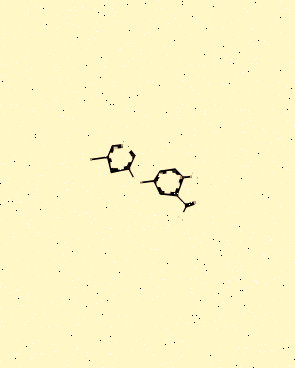 NC(=O)c1cc(Oc2cncc(Cl)c2)ccc1N